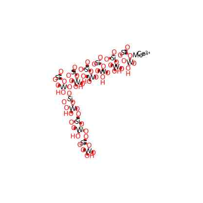 O=[Si]([O-])[O][W](=[O])(=[O])[OH].O=[Si]([O-])[O][W](=[O])(=[O])[OH].O=[Si]([O-])[O][W](=[O])(=[O])[OH].O=[Si]([O-])[O][W](=[O])(=[O])[OH].O=[Si]([O-])[O][W](=[O])(=[O])[OH].O=[Si]([O-])[O][W](=[O])(=[O])[OH].O=[Si]([O-])[O][W](=[O])(=[O])[OH].O=[Si]([O-])[O][W](=[O])(=[O])[OH].O=[Si]([O-])[O][W](=[O])(=[O])[OH].[Ce+3].[Mo+6]